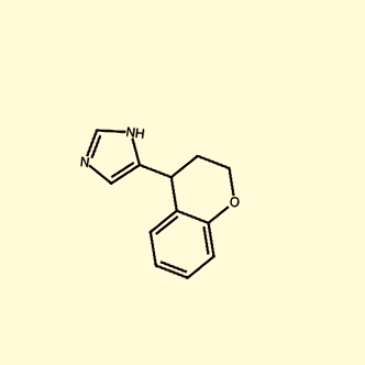 c1ccc2c(c1)OCCC2c1cnc[nH]1